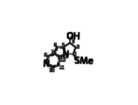 CSC1CC(O)c2cc3cnccc3n21